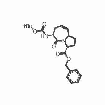 CC(C)(C)OC(=O)N[C@H]1CC=CC2CC[C@@H](C(=O)OCc3ccccc3)N2C1=O